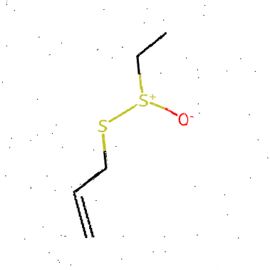 C=CCS[S+]([O-])CC